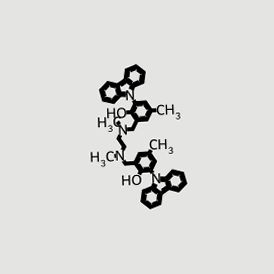 Cc1cc(CN(C)CCN(C)Cc2cc(C)cc(-n3c4ccccc4c4ccccc43)c2O)c(O)c(-n2c3ccccc3c3ccccc32)c1